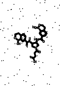 O=C(O)CCC(=O)N1CC(NC(=O)c2ccc3c(c2)B(O)OCC3)C(NC(=O)c2ccc3c(c2)B(O)OCC3)C1